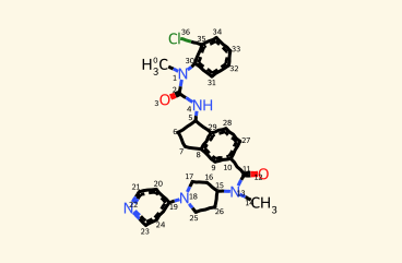 CN(C(=O)NC1CCc2cc(C(=O)N(C)C3CCN(c4ccncc4)CC3)ccc21)c1ccccc1Cl